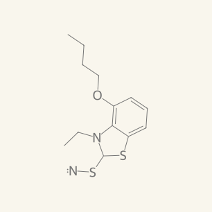 CCCCOc1cccc2c1N(CC)C(S[N])S2